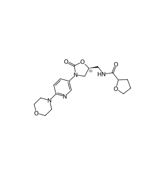 O=C(NC[C@H]1CN(c2ccc(N3CCOCC3)nc2)C(=O)O1)C1CCCO1